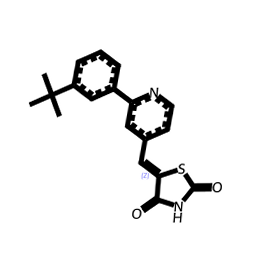 CC(C)(C)c1cccc(-c2cc(/C=C3\SC(=O)NC3=O)ccn2)c1